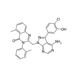 Cc1ccccc1-n1c(Cn2nc(-c3ccc(Cl)c(O)c3)c3c(N)ncnc32)nc2cccc(C)c2c1=O